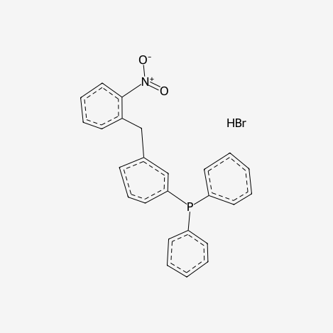 Br.O=[N+]([O-])c1ccccc1Cc1cccc(P(c2ccccc2)c2ccccc2)c1